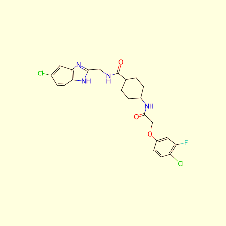 O=C(COc1ccc(Cl)c(F)c1)NC1CCC(C(=O)NCc2nc3cc(Cl)ccc3[nH]2)CC1